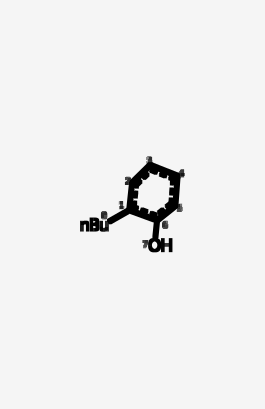 C[CH]CCc1ccccc1O